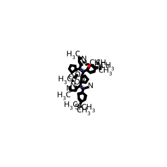 CCn1nc(C)cc1/C(=C(/C#N)c1ccc([Si](C)(C)C)cc1)C1(OC(=O)OC2(/C(=C(\C#N)c3ccc([Si](C)(C)C)cc3)c3cc(C)nn3CC)CCCC2)CCCC1